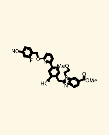 C#Cc1cc(-c2cccc(OCc3ccc(C#N)cc3F)n2)ccc1Cc1nc2ccc(C(=O)OC)cc2n1CCOC